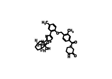 Cc1ccc(OCc2ccc(C(=O)N3CCNC(=O)C3)cc2C)c(-c2csc(N3C[C@H]4CC[C@@H](C3)[C@H]4C(=O)O)n2)c1